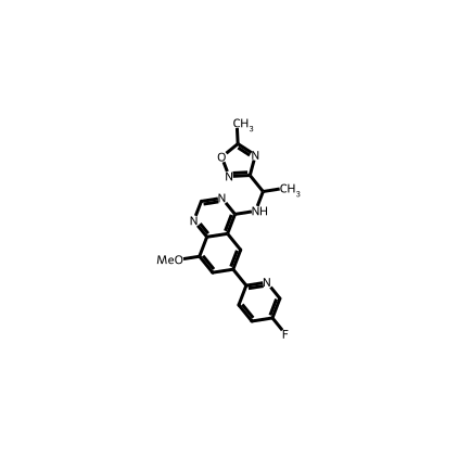 COc1cc(-c2ccc(F)cn2)cc2c(NC(C)c3noc(C)n3)ncnc12